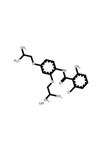 Cc1cccc(Cl)c1C(=O)Pc1ccc(OCC(C)C)cc1OCC(C)C.[LiH]